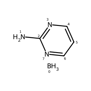 B.Nc1ncccn1